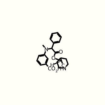 CN(c1cccc(C(=O)O)c1)C(C(=O)O[C@H]1CN2CCC1CC2)c1ccccc1